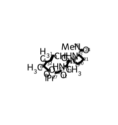 C/C=C/C(C)C(C)C(=O)O[C@H](C(=O)N[C@@H](C)C(=O)N1CCC[C@@H](C(=O)NC)N1)C(C)C